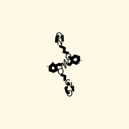 [c]1[c]c(/C=N/N=C/c2[c][c]ccc2OCCCCN2CCOCC2)c(OCCCCN2CCOCC2)cc1